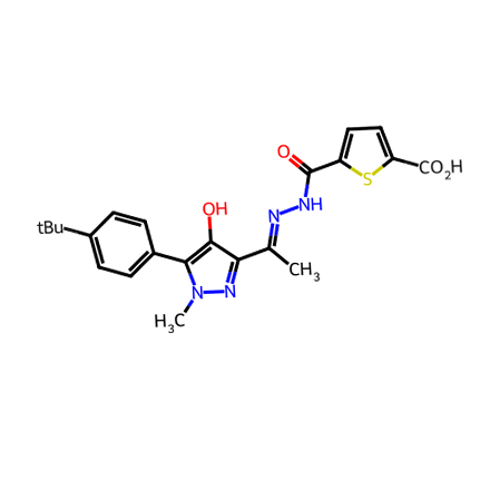 CC(=NNC(=O)c1ccc(C(=O)O)s1)c1nn(C)c(-c2ccc(C(C)(C)C)cc2)c1O